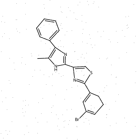 Cc1[nH]c(-c2csc(C3=CC(Br)=CCC3)n2)nc1-c1ccccc1